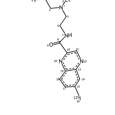 CCN(CCF)CCNC(=O)c1cnc2cc([125I])ccc2n1